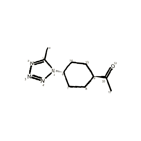 Cc1nnnn1[C@H]1CC[C@H](C(C)=O)CC1